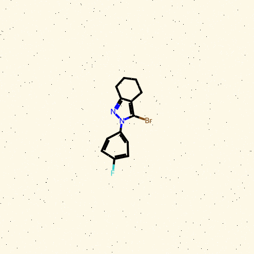 Fc1ccc(-n2nc3c(c2Br)CCCC3)cc1